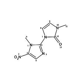 Cn1c([N+](=O)[O-])cnc1-n1ccn(C)c1=O